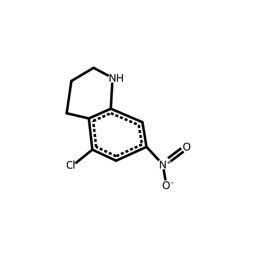 O=[N+]([O-])c1cc(Cl)c2c(c1)NCCC2